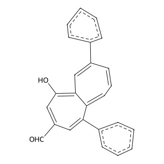 O=CC1=CC(O)=C2C=C(c3ccccc3)C=CC=C2C(c2ccccc2)=C1